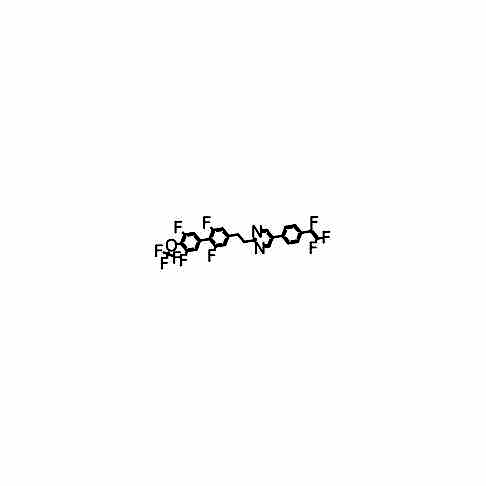 FC(F)=C(F)c1ccc(-c2cnc(CCc3cc(F)c(-c4cc(F)c(OC(F)(F)F)c(F)c4)c(F)c3)nc2)cc1